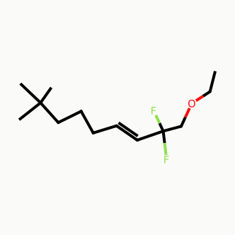 CCOCC(F)(F)/C=C/CCCC(C)(C)C